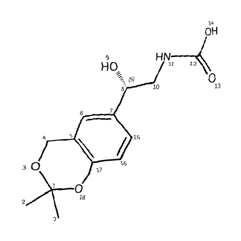 CC1(C)OCc2cc([C@H](O)CNC(=O)O)ccc2O1